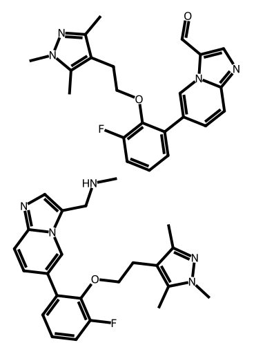 CNCc1cnc2ccc(-c3cccc(F)c3OCCc3c(C)nn(C)c3C)cn12.Cc1nn(C)c(C)c1CCOc1c(F)cccc1-c1ccc2ncc(C=O)n2c1